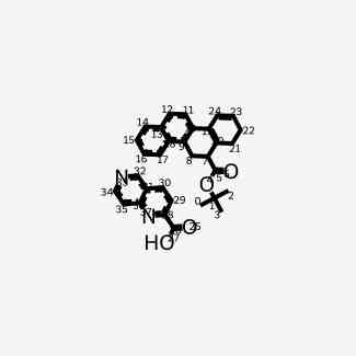 CC(C)(C)OC(=O)C1Cc2c(ccc3ccccc23)C2=C1CCC=C2.O=C(O)c1ccc2cnccc2n1